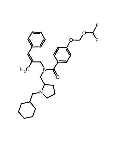 CC(=Cc1ccccc1)CN(CC1CCCN1CC1CCCCC1)C(=O)c1ccc(OCOC(F)F)cc1